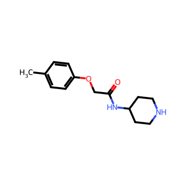 Cc1ccc(OCC(=O)NC2CCNCC2)cc1